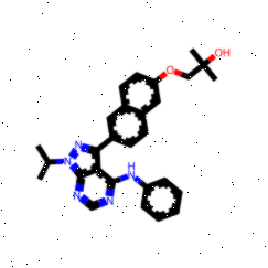 CC(C)n1nc(-c2ccc3cc(OCC(C)(C)O)ccc3c2)c2c(Nc3ccccc3)ncnc21